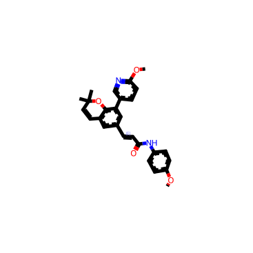 COc1ccc(NC(=O)/C=C/c2cc3c(c(-c4ccc(OC)nc4)c2)OC(C)(C)C=C3)cc1